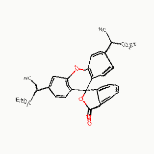 CCOC(=O)C(C#N)c1ccc2c(c1)Oc1cc(C(C#N)C(=O)OCC)ccc1C21OC(=O)c2ccccc21